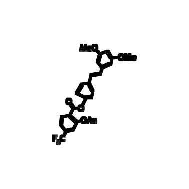 COc1cc(/C=C/c2ccc(OC(=O)c3ccc(C(F)(F)F)cc3OC(C)=O)cc2)cc(OC)c1